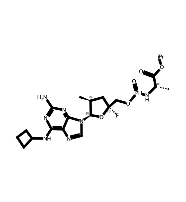 CC(C)OC(=O)[C@H](C)N[PH](=O)OC[C@]1(F)C[C@H](C)[C@H](n2cnc3c(NC4CCC4)nc(N)nc32)O1